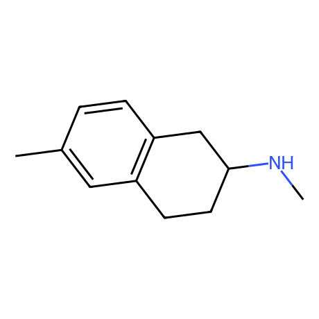 CNC1CCc2cc(C)ccc2C1